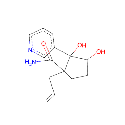 C=CCC1(C(N)=O)CCC(O)C1(O)c1cccnc1